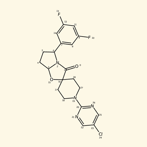 O=C1N2C(CCC2c2cc(F)cc(F)c2)OC12CCN(c1ncc(Cl)cn1)CC2